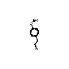 CCCOc1ccc(CCBr)cc1